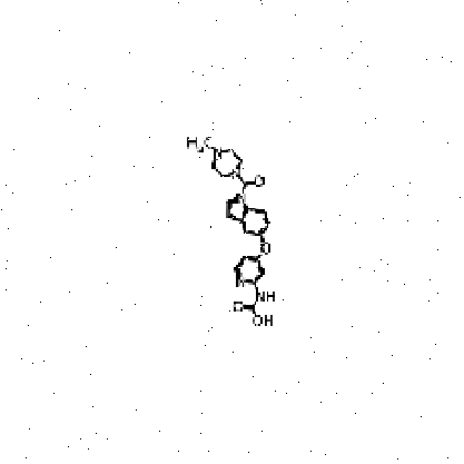 CN1CCN(C(=O)n2ccc3cc(Oc4ccnc(NC(=O)O)c4)ccc32)CC1